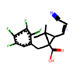 CC1(C)C(/C=C\C#N)C1(Cc1cc(F)c(F)c(F)c1F)C(=O)O